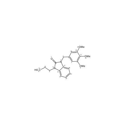 COc1cc(Cn2c(=O)n(CCC(=O)O)c3ccccc32)cc(OC)c1OC